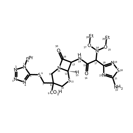 CCCn1nnnc1SCC1(C(=O)O)CS[C@@H]2C(NC(=O)C(c3nsc(N)n3)N(OCC)OCC)C(=O)N2C1